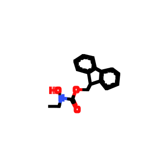 CCN(O)C(=O)OCC1c2ccccc2-c2ccccc21